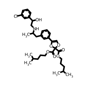 CC(C)CCCOC(=O)C1(C(=O)OCCCC(C)C)OC=C(c2cccc(CC(C)NCC(O)c3cccc(Cl)c3)c2)O1